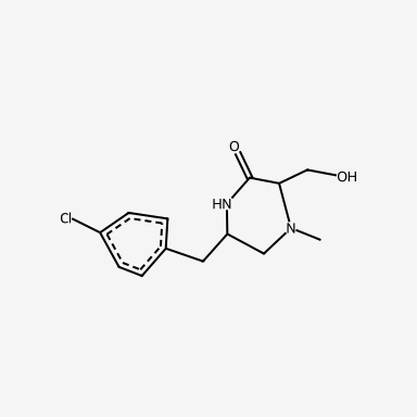 CN1CC(Cc2ccc(Cl)cc2)NC(=O)C1CO